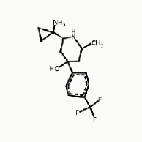 C[C@H]1CC(O)(c2ccc(C(F)(F)F)cc2)C[C@@H](C2(N)CC2)N1